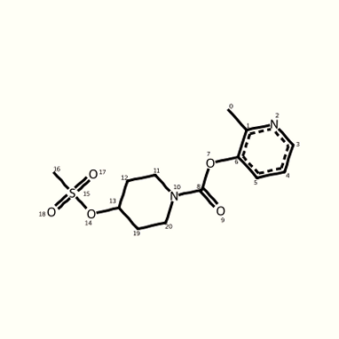 Cc1ncccc1OC(=O)N1CCC(OS(C)(=O)=O)CC1